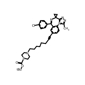 Cc1nnc2n1-c1ccc(C#CCCCCCCN3CCN(C(=O)OC(C)(C)C)CC3)cc1C(c1ccc(Cl)cc1)=NC21CC1